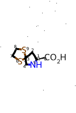 O=C(O)[C@@H]1CC2(CN1)SCCS2